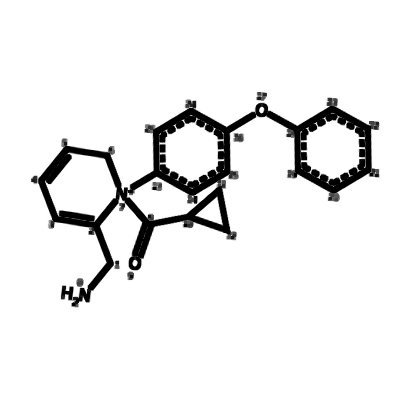 NCC1=CC=CC[N+]1(C(=O)C1CC1)c1ccc(Oc2ccccc2)cc1